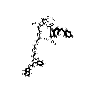 C[C@@H]1CN(CC(=O)N2CC(C)(C)c3ncc(Cc4ccc(F)cc4)cc32)[C@@H](CN(C)CCOCCOCCOCCNC[C@@H](C(=O)Nc2ccc3cnccc3c2)c2ccccc2)CN1